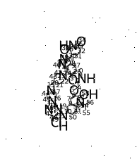 CNC(=O)COC1=Cc2cc(Nc3nc(N4CCN(CC5CCN(c6cccc7c(C8CCC(=O)NC8=O)nn(C)c67)CC5)CC4)ncc3Cl)ccc2N(C(C)C)C1O